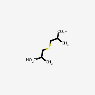 CC(CSCC(C)C(=O)O)C(=O)O